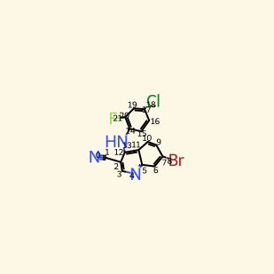 N#Cc1cnc2cc(Br)ccc2c1Nc1ccc(Cl)cc1F